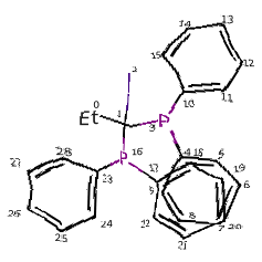 CCC(I)(P(c1ccccc1)c1ccccc1)P(c1ccccc1)c1ccccc1